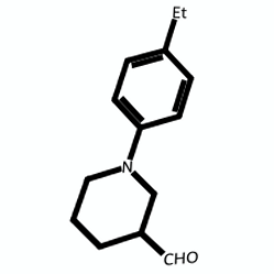 CCc1ccc(N2CCCC(C=O)C2)cc1